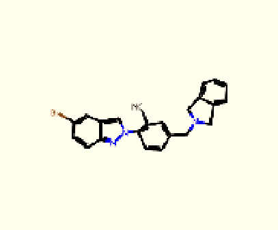 N#Cc1cc(CN2Cc3ccccc3C2)ccc1-n1cc2cc(Br)ccc2n1